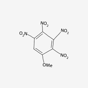 COc1cc([N+](=O)[O-])c([N+](=O)[O-])c([N+](=O)[O-])c1[N+](=O)[O-]